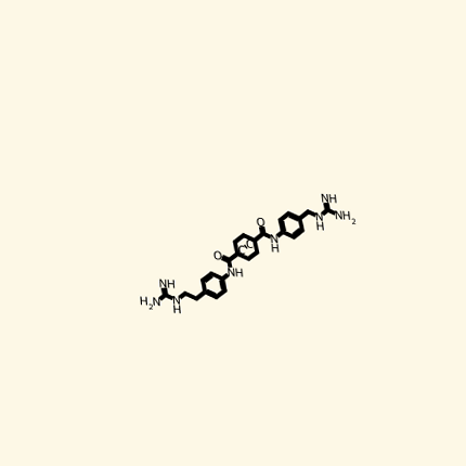 N=C(N)NCCc1ccc(NC(=O)C23CCC(C(=O)Nc4ccc(CNC(=N)N)cc4)(CC2)CC3)cc1